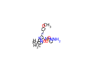 COc1ccc(/C=C/c2cnc(N3CCC(C)C3(C)C)c(C(=O)NS(=O)(=O)c3cccc(N)n3)c2)cc1